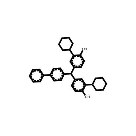 Oc1ccc(C(c2ccc(-c3ccccc3)cc2)c2ccc(O)c(C3CCCCC3)c2)cc1C1CCCCC1